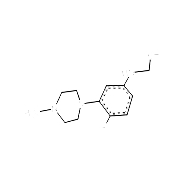 CCNc1ccc(F)c(N2CCN(C)CC2)c1